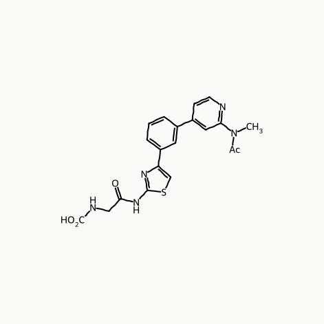 CC(=O)N(C)c1cc(-c2cccc(-c3csc(NC(=O)CNC(=O)O)n3)c2)ccn1